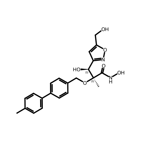 Cc1ccc(-c2ccc(CO[C@](C)(C(=O)NO)[C@@H](O)c3cc(CO)on3)cc2)cc1